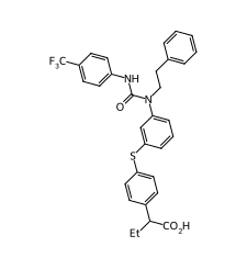 CCC(C(=O)O)c1ccc(Sc2cccc(N(CCc3ccccc3)C(=O)Nc3ccc(C(F)(F)F)cc3)c2)cc1